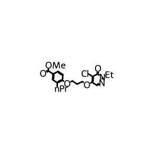 CCCc1cc(C(=O)OC)ccc1OCCCOc1cnn(CC)c(=O)c1Cl